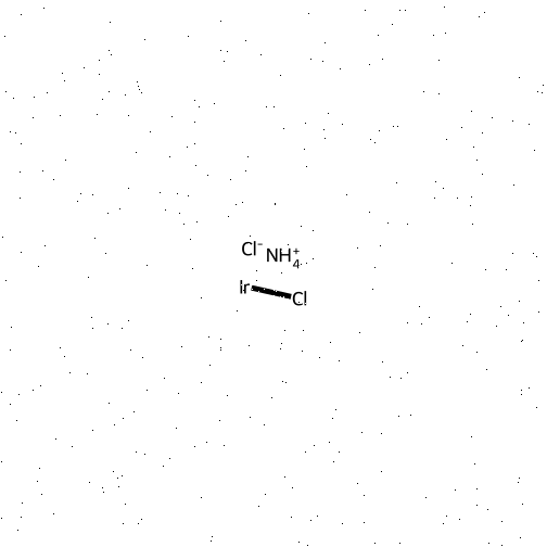 [Cl-].[Cl][Ir].[NH4+]